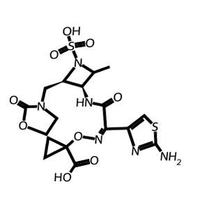 CC1[C@@H](NC(=O)/C(=N\OC2(C(=O)O)CC2)c2csc(N)n2)[C@@H](CN2CCOC2=O)N1S(=O)(=O)O